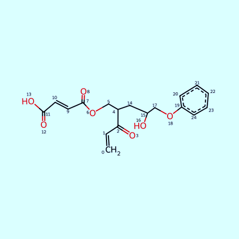 C=CC(=O)C(COC(=O)C=CC(=O)O)CC(O)COc1ccccc1